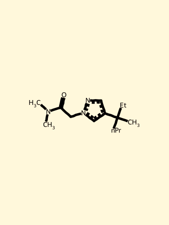 CCCC(C)(CC)c1cnn(CC(=O)N(C)C)c1